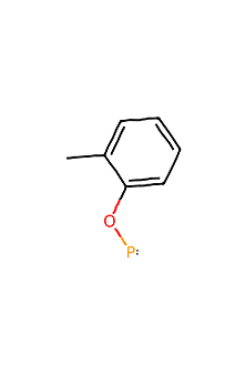 Cc1ccccc1O[P]